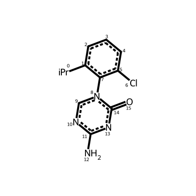 CC(C)c1cccc(Cl)c1-n1cnc(N)nc1=O